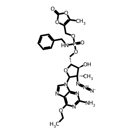 CCOc1nc(N)nc2c1ncn2C1O[C@H](COP(=O)(NCc2ccccc2)OCc2oc(=O)oc2C)[C@@H](O)[C@@]1(C)N=[N+]=[N-]